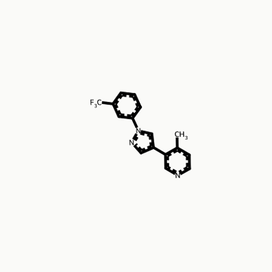 Cc1ccncc1-c1cnn(-c2cccc(C(F)(F)F)c2)c1